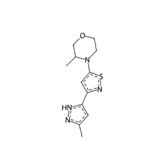 Cc1cc(-c2cc(N3CCOCC3C)sn2)[nH]n1